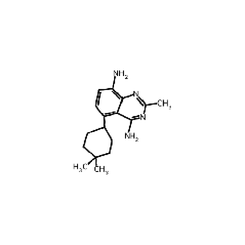 Cc1nc(N)c2c(C3CCC(C)(C)CC3)ccc(N)c2n1